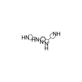 c1cc2c(nc1NCC1CCNCC1)NCC2C1CCNCC1